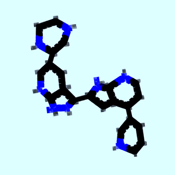 c1cncc(-c2ccnc3[nH]c(-c4n[nH]c5ncc(-c6cnccn6)cc45)cc23)c1